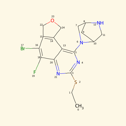 CCSc1nc(N2CC3CC2CN3)c2c3c(c(Br)c(F)c2n1)COC3